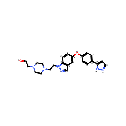 O=CCN1CCN(CCn2ncc3cc(Oc4ccc(-c5ccn[nH]5)cc4)ccc32)CC1